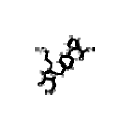 CCCCc1nc(Cl)c(CO)n1Cc1ccc(-n2cccc2C(=O)O)cc1